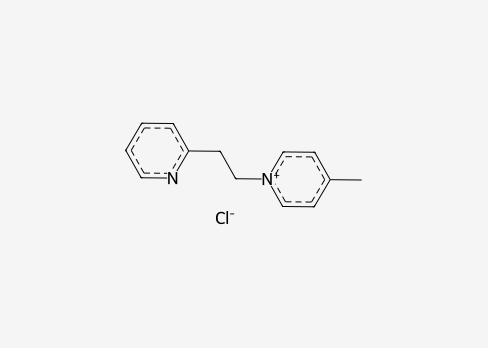 Cc1cc[n+](CCc2ccccn2)cc1.[Cl-]